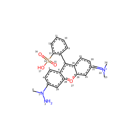 CN(N)c1ccc2c(-c3ccccc3S(=O)(=O)O)c3ccc(=[N+](C)C)cc-3oc2c1